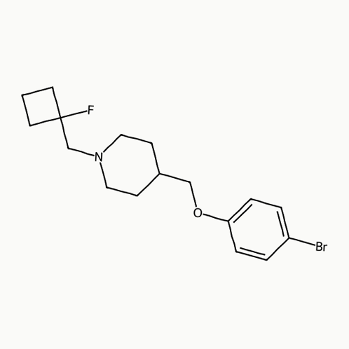 FC1(CN2CCC(COc3ccc(Br)cc3)CC2)CCC1